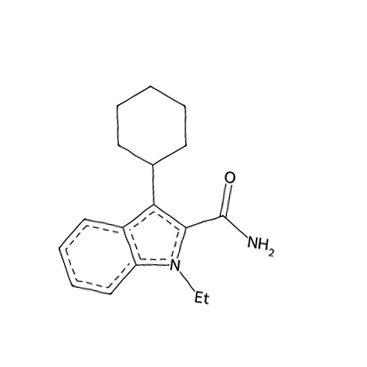 CCn1c(C(N)=O)c(C2CCCCC2)c2ccccc21